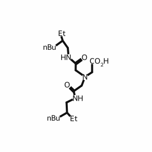 CCCCC(CC)CNC(=O)CN(CC(=O)O)CC(=O)NCC(CC)CCCC